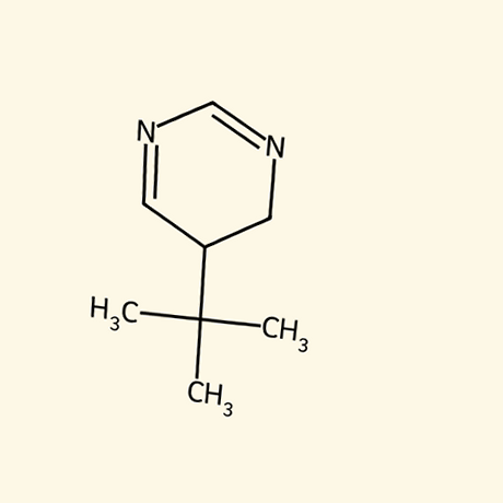 CC(C)(C)C1C=NC=NC1